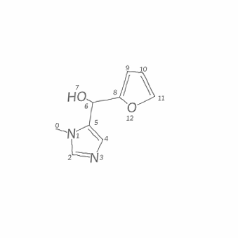 Cn1cncc1C(O)c1ccco1